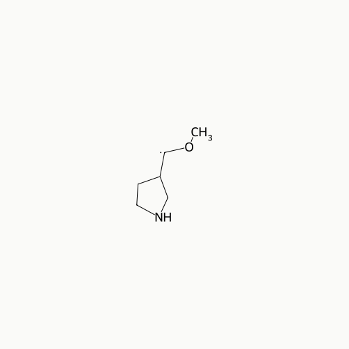 CO[CH]C1CCNC1